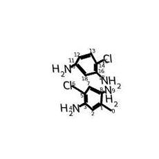 Cc1cc(N)c(Cl)cc1N.Nc1ccc(Cl)c(N)c1